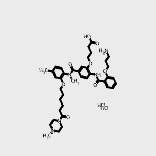 Cc1ccc(N(C)C(=O)c2ccc(NC(=O)c3ccccc3OCCCN)c(OCCCC(=O)O)c2)c(OCCCCCC(=O)N2CCN(C)CC2)c1.Cl.Cl